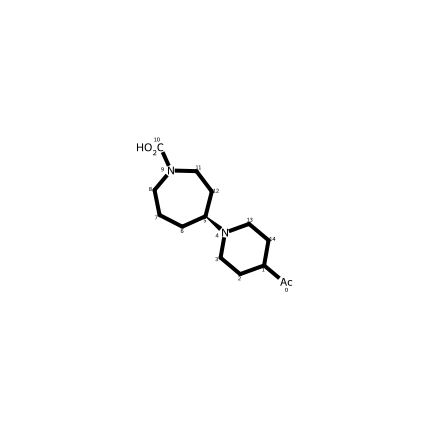 CC(=O)C1CCN([C@H]2CCCN(C(=O)O)CC2)CC1